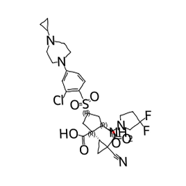 N#CC1(C(N)=O)CC1[C@]1(C(=O)O)C[C@H](S(=O)(=O)c2ccc(N3CCN(C4CC4)CC3)cc2Cl)C[C@H]1C(=O)N1CCC(F)(F)C1